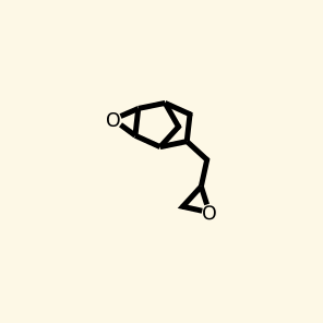 C1OC1CC1CC2CC1C1OC21